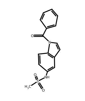 CS(=O)(=O)Nc1ccc2c(ccn2C(=O)c2ccccc2)c1